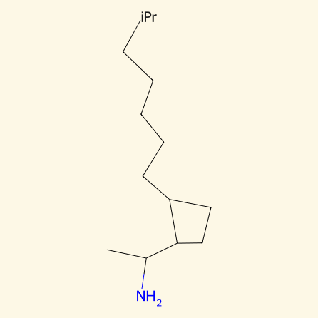 CC(C)CCCCCC1CCC1C(C)N